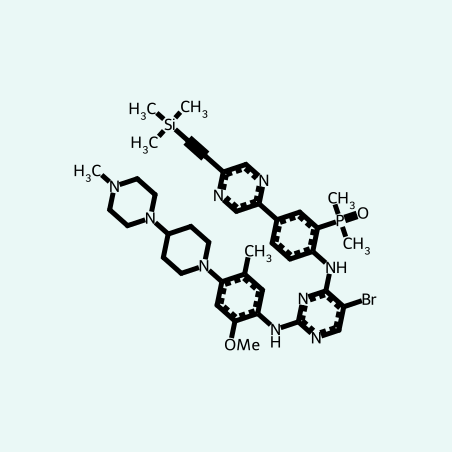 COc1cc(N2CCC(N3CCN(C)CC3)CC2)c(C)cc1Nc1ncc(Br)c(Nc2ccc(-c3cnc(C#C[Si](C)(C)C)cn3)cc2P(C)(C)=O)n1